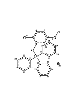 COc1ccc(Cl)c(C[P+](c2ccccc2)(c2ccccc2)c2ccccc2)c1.[Br-]